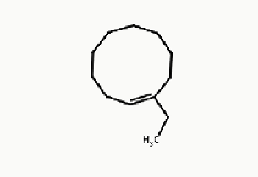 CCC1=CCCCCCCCC1